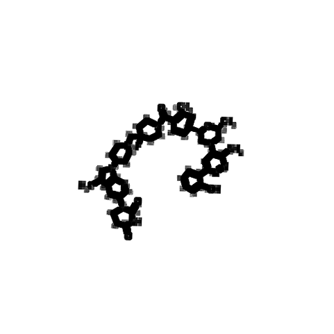 Cc1cc([C@@H]2CN(c3cc(-c4ccccc4O)nnc3N)C[C@H](C)O2)ccc1C(=O)N1CCC(F)(CN2CCC(n3cc(C)c4cc(N5CCC(=O)NC5=O)cnc43)CC2)CC1